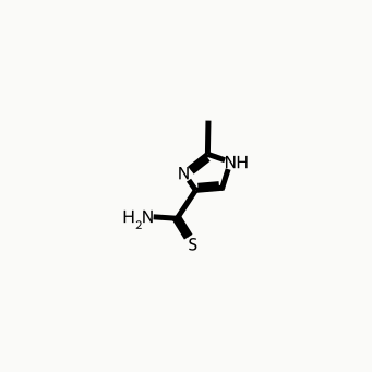 Cc1nc(C(N)=S)c[nH]1